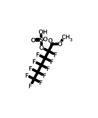 COC(=O)C(F)(OS(=O)(=O)O)C(F)(F)C(F)(F)C(F)(F)C(F)(F)F